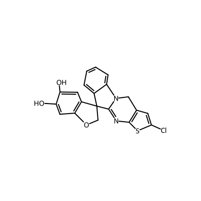 Oc1cc2c(cc1O)C1(CO2)C2=Nc3sc(Cl)cc3CN2c2ccccc21